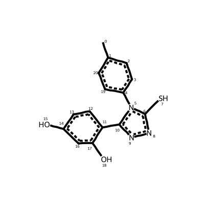 Cc1ccc(-n2c(S)nnc2-c2ccc(O)cc2O)cc1